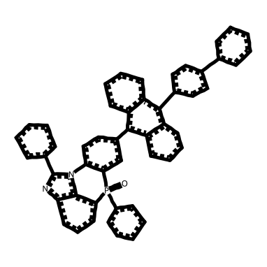 O=P1(c2ccccc2)c2cc(-c3c4ccccc4c(-c4ccc(-c5ccccc5)cc4)c4ccccc34)ccc2-n2c(-c3ccccc3)nc3cccc1c32